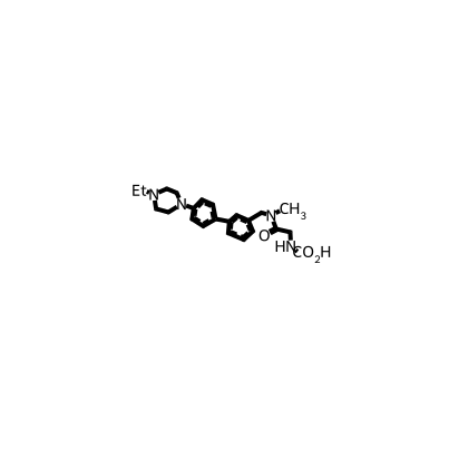 CCN1CCN(c2ccc(-c3cccc(CN(C)C(=O)CNC(=O)O)c3)cc2)CC1